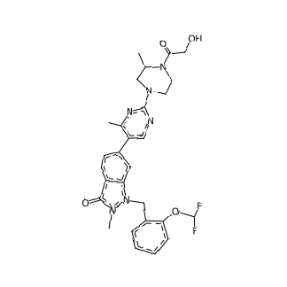 Cc1nc(N2CCN(C(=O)CO)C(C)C2)ncc1-c1ccc2c(=O)n(C)n(Cc3ccccc3OC(F)F)c2c1